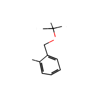 CC(C)(C)C(OCc1ccccc1C(F)(F)F)(C(F)(F)F)C(F)(F)F